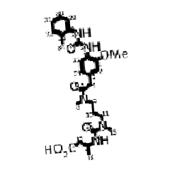 COc1cc(CC(=O)N(C)CCCN(C)C(=O)NC(C)CC(=O)O)ccc1NC(=O)Nc1ccccc1C